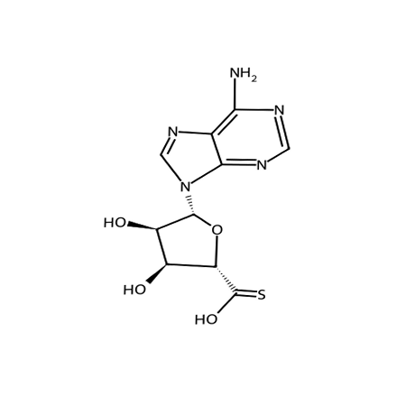 Nc1ncnc2c1ncn2[C@@H]1O[C@H](C(O)=S)[C@@H](O)[C@H]1O